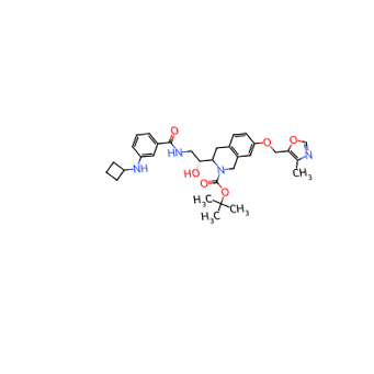 Cc1ncoc1COc1ccc2c(c1)CN(C(=O)OC(C)(C)C)C([C@H](O)CNC(=O)c1cccc(NC3CCC3)c1)C2